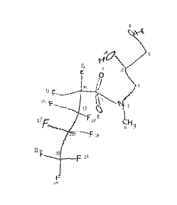 CN(CC(O)CO)S(=O)(=O)C(F)(F)C(F)(F)C(F)(F)C(F)(F)F